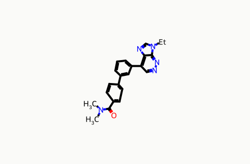 CCn1cnc2c(-c3cccc(-c4ccc(C(=O)N(C)C)cc4)c3)cnnc21